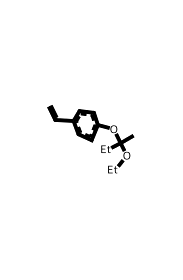 C=Cc1ccc(OC(C)(CC)OCC)cc1